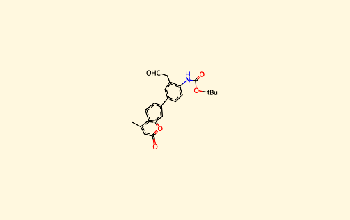 Cc1cc(=O)oc2cc(-c3ccc(NC(=O)OC(C)(C)C)c(CC=O)c3)ccc12